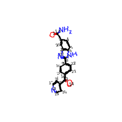 NC(=O)c1ccc2[nH]c(-c3ccc(C(=O)c4ccncc4)cc3)nc2c1